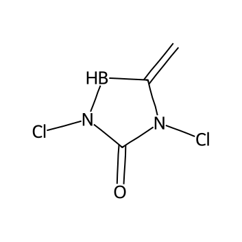 C=C1BN(Cl)C(=O)N1Cl